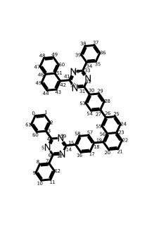 c1ccc(-c2nc(-c3ccccc3)nc(-c3ccc(-c4cccc5ccc(-c6ccc(-c7nc(-c8ccccc8)nc(-c8cccc9ccccc89)n7)cc6)cc45)cc3)n2)cc1